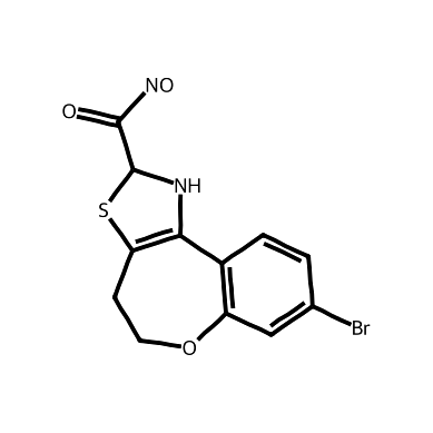 O=NC(=O)C1NC2=C(CCOc3cc(Br)ccc32)S1